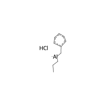 CC[CH2][Al][CH2]c1ccccc1.Cl